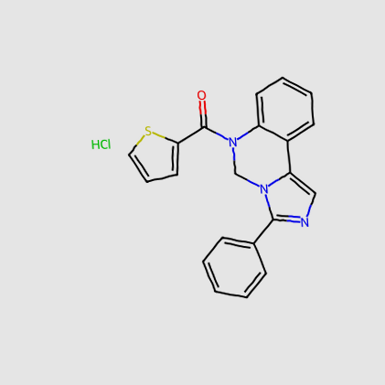 Cl.O=C(c1cccs1)N1Cn2c(cnc2-c2ccccc2)-c2ccccc21